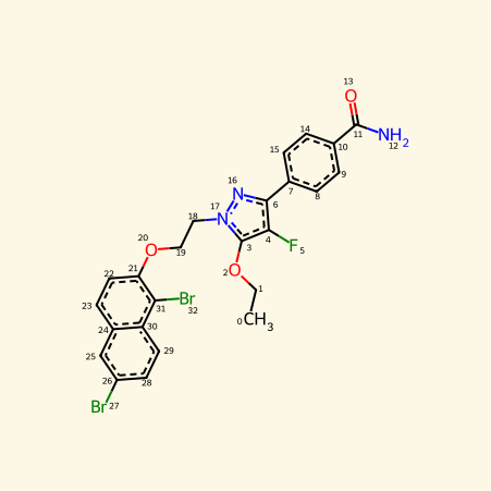 CCOc1c(F)c(-c2ccc(C(N)=O)cc2)nn1CCOc1ccc2cc(Br)ccc2c1Br